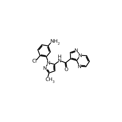 Cc1cc(NC(=O)c2cnn3cccnc23)n(-c2cc(N)ccc2Cl)n1